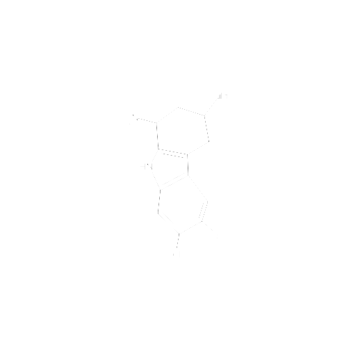 CC(C)C1Cc2c([nH]c3cc(Cl)c(Cl)cc23)C(N)C1